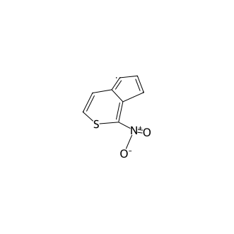 O=[N+]([O-])c1sccc2[c]ccc1-2